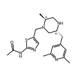 CC(=O)Nc1ncc(CN2C[C@@H](Cc3cc(C)nc(C)c3)NC[C@@H]2C)s1